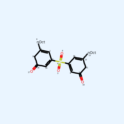 CCCCCCCCC1=CC(S(=O)(=O)C2=CC(=O)CC(CCCCCCCC)=C2)=CC(=O)C1